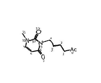 CC(=O)CCCCn1c(=O)ccn(C)c1=O